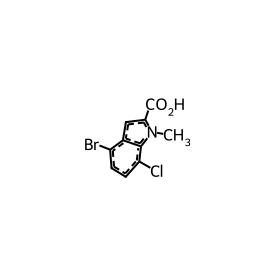 Cn1c(C(=O)O)cc2c(Br)ccc(Cl)c21